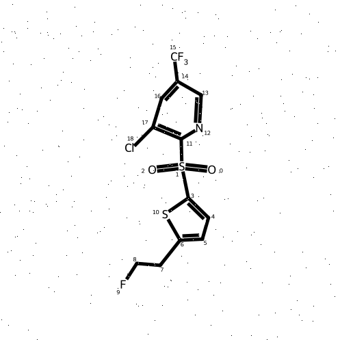 O=S(=O)(c1ccc(CCF)s1)c1ncc(C(F)(F)F)cc1Cl